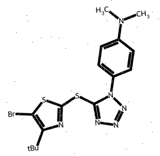 CN(C)c1ccc(-n2nnnc2Sc2nc(C(C)(C)C)c(Br)s2)cc1